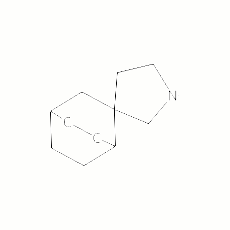 C1CC2(C[N]1)CC1CCC2CC1